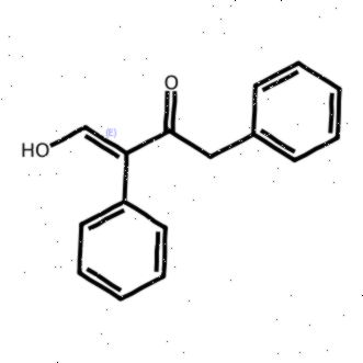 O=C(Cc1ccccc1)/C(=C/O)c1ccccc1